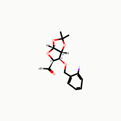 CCCC(=O)[C@H]1O[C@@H]2OC(C)(C)O[C@@H]2[C@H]1OCc1ccccc1I